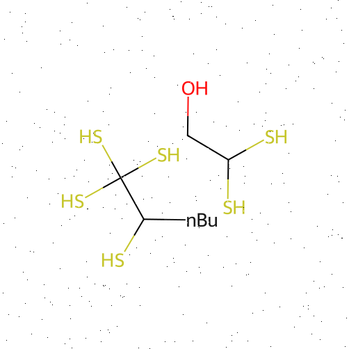 CCCCC(S)C(S)(S)S.OCC(S)S